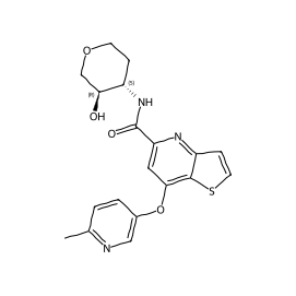 Cc1ccc(Oc2cc(C(=O)N[C@H]3CCOC[C@@H]3O)nc3ccsc23)cn1